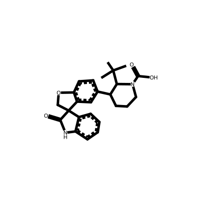 CC(C)(C)C1C(c2ccc3c(c2)C2(CO3)C(=O)Nc3ccccc32)CCCN1C(=O)O